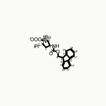 CC(C)[C@H]1C[C@@H](NC(=O)OCC2c3ccccc3-c3ccccc32)C[N+]1(C(=O)[O-])C(C)(C)C